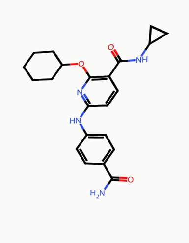 NC(=O)c1ccc(Nc2ccc(C(=O)NC3CC3)c(OC3CCCCC3)n2)cc1